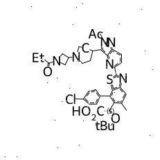 CCC(=O)N1CC(N2CCC(c3c4nc(-c5nc6cc(C)c([C@H](OC(C)(C)C)C(=O)O)c(-c7ccc(Cl)cc7)c6s5)ccc4nn3C(C)=O)CC2)C1